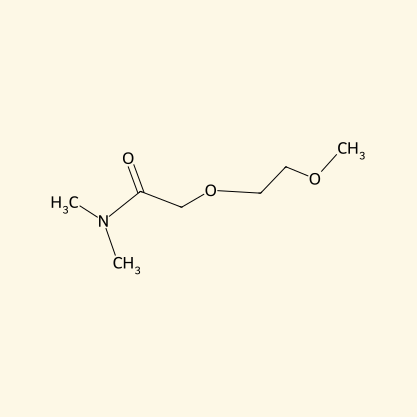 COCCOCC(=O)N(C)C